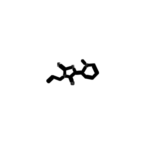 C=CCN1C(=O)C(=C2C=CC=CN2C)SC1=S